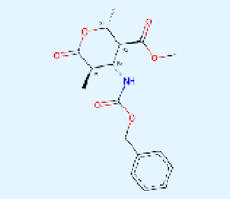 COC(=O)[C@H]1[C@H](NC(=O)OCc2ccccc2)[C@@H](C)C(=O)O[C@@H]1C